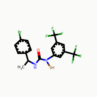 CC(NC(=O)N(S)c1cc(C(F)(F)F)cc(C(F)(F)F)c1)c1ccc(Br)cc1